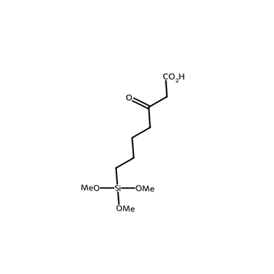 CO[Si](CCCCC(=O)CC(=O)O)(OC)OC